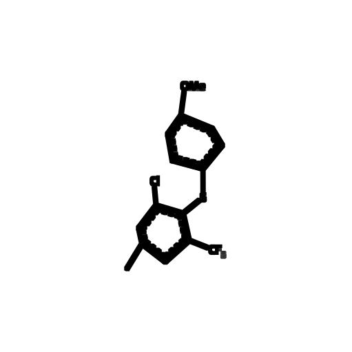 COc1ccc(Sc2c(Cl)cc(C)cc2C(F)(F)F)cc1